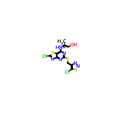 C[C@H](CO)Nc1nc(SCc2nnsc2Cl)nc2nc(Cl)sc12